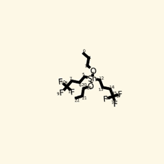 CCC[O][Sn]([CH2]CCC(F)(F)F)([CH2]CCC(F)(F)F)[O]CCC